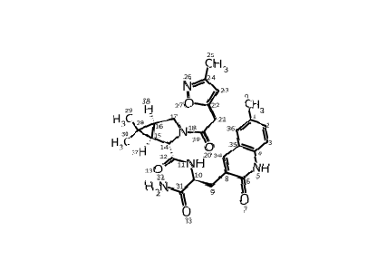 Cc1ccc2[nH]c(=O)c(C[C@H](NC(=O)[C@@H]3[C@@H]4[C@H](CN3C(=O)Cc3cc(C)no3)C4(C)C)C(N)=O)cc2c1